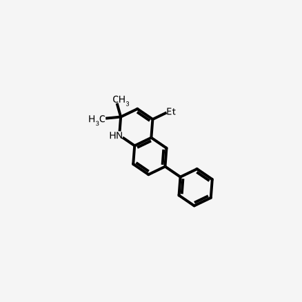 CCC1=CC(C)(C)Nc2ccc(-c3ccccc3)cc21